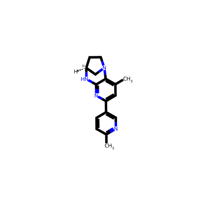 Cc1ccc(-c2cc(C)c3c(n2)N[C@H]2CCN3C2)cn1